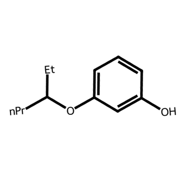 CCCC(CC)Oc1cccc(O)c1